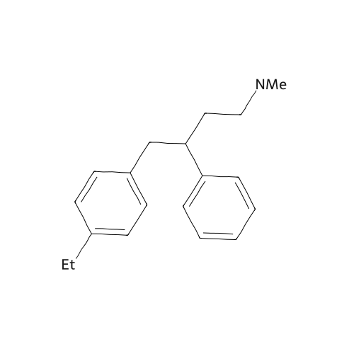 CCc1ccc(CC(CCNC)c2ccccc2)cc1